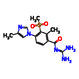 Cc1cn(-c2ccc(C(=O)N=C(N)N)c(C)c2S(C)(=O)=O)cn1